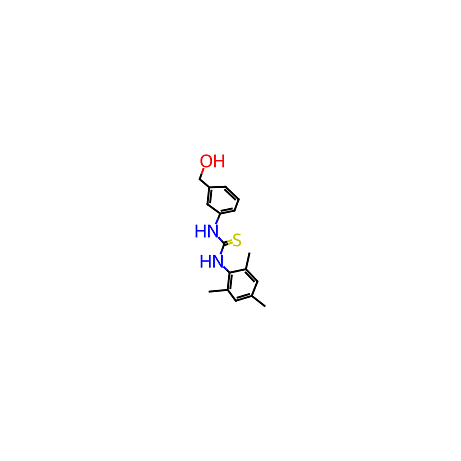 Cc1cc(C)c(NC(=S)Nc2cccc(CO)c2)c(C)c1